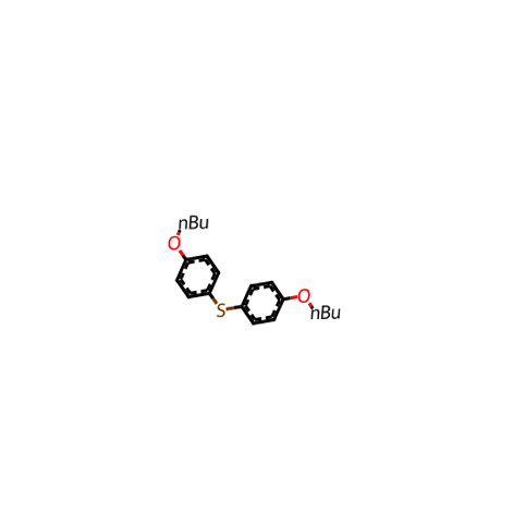 CCCCOc1ccc(Sc2ccc(OCCCC)cc2)cc1